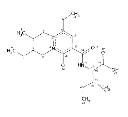 CCCCn1c(CCC)c(CC)cc(C(=O)N[C@H](C(=O)O)[C@H](C)CC)c1=O